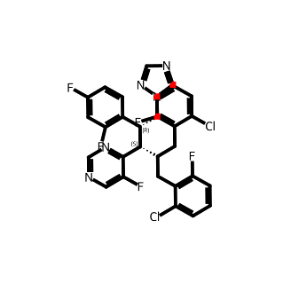 Fc1ccc([C@H](Cn2cncn2)[C@@H](c2ncncc2F)C(Cc2c(F)cccc2Cl)Cc2c(F)cccc2Cl)c(F)c1